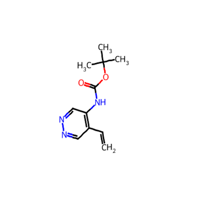 C=Cc1cnncc1NC(=O)OC(C)(C)C